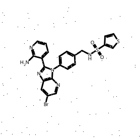 Nc1ncccc1-c1nc2cc(Br)cnc2n1-c1ccc(CNS(=O)(=O)c2ccsc2)cc1